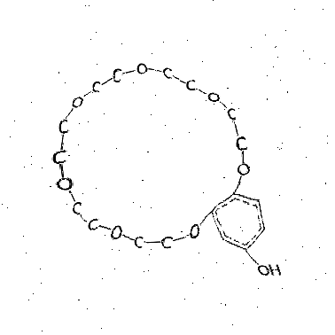 Oc1ccc2c(c1)OCCOCCOCCOCCOCCOCCO2